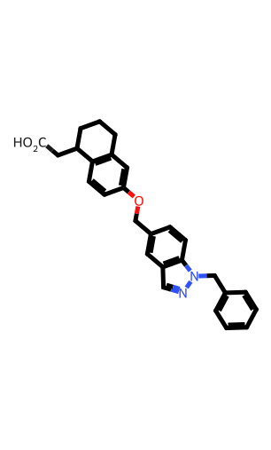 O=C(O)CC1CCCc2cc(OCc3ccc4c(cnn4Cc4ccccc4)c3)ccc21